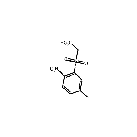 Cc1ccc([N+](=O)[O-])c(S(=O)(=O)CC(=O)O)c1